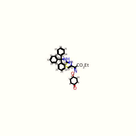 CCOC(=O)C(=NOC1CCC(=O)CC1)c1csc(NC(c2ccccc2)(c2ccccc2)c2ccccc2)n1